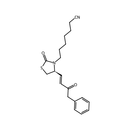 N#CCCCCCCN1C(=O)SC[C@@H]1C=CC(=O)Cc1ccccc1